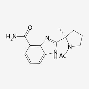 CC(=O)N1CCC[C@]1(C)c1nc2c(C(N)=O)cccc2[nH]1